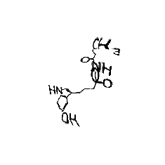 CCCC(=O)NOC(=O)CCCc1c[nH]c2ccc(O)cc12